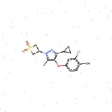 Cc1c(Oc2ccc(C#N)c(Cl)c2)c(C2CC2)nn1C1CS(=O)(=O)C1